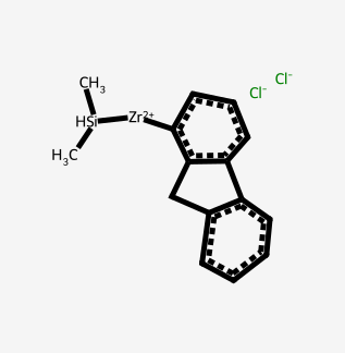 C[SiH](C)[Zr+2][c]1cccc2c1Cc1ccccc1-2.[Cl-].[Cl-]